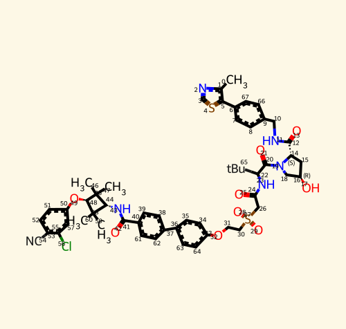 Cc1ncsc1-c1ccc(CNC(=O)[C@@H]2C[C@@H](O)CN2C(=O)C(NC(=O)CS(=O)(=O)CCOc2ccc(-c3ccc(C(=O)N[C@H]4C(C)(C)[C@H](Oc5ccc(C#N)c(Cl)c5)C4(C)C)cc3)cc2)C(C)(C)C)cc1